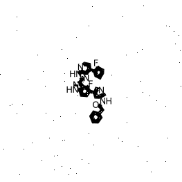 O=C(Cc1ccccc1)Nc1cncc(-c2ccc3[nH]nc(-c4nc5c(-c6ccccc6F)ccnc5[nH]4)c3c2F)c1